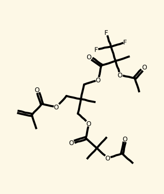 C=C(C)C(=O)OCC(C)(COC(=O)C(C)(C)OC(C)=O)COC(=O)C(C)(OC(C)=O)C(F)(F)F